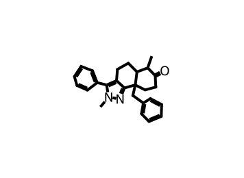 CC1C(=O)CCC2(Cc3ccccc3)c3nn(C)c(-c4ccccc4)c3CCC12